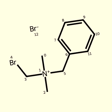 C[N+](C)(CBr)Cc1ccccc1.[Br-]